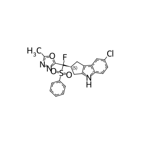 Cc1nnc(C(F)([C@@H]2Cc3[nH]c4ccc(Cl)cc4c3C2)S(=O)(=O)c2ccccc2)o1